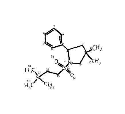 CC1(C)CC(c2ccccc2)N(S(=O)(=O)CC[Si](C)(C)C)C1